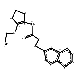 O=C(CCc1ccc2ccccc2c1)NC1=C(OCO)CCC1